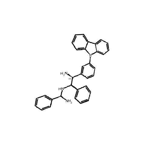 NC(NC(c1ccccc1)[C@@H](N)c1cccc(-n2c3ccccc3c3ccccc32)c1)c1ccccc1